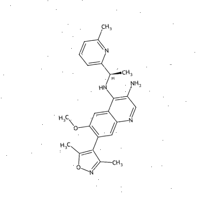 COc1cc2c(N[C@H](C)c3cccc(C)n3)c(N)cnc2cc1-c1c(C)noc1C